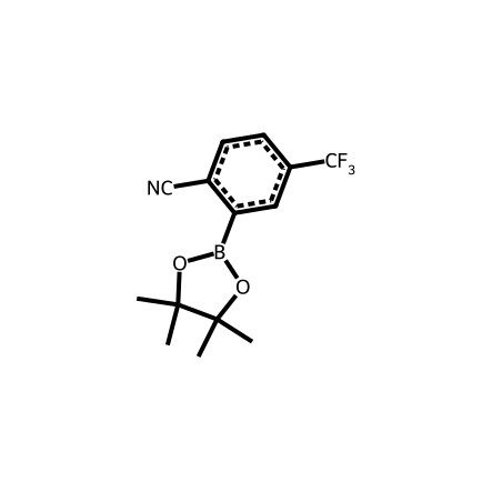 CC1(C)OB(c2cc(C(F)(F)F)ccc2C#N)OC1(C)C